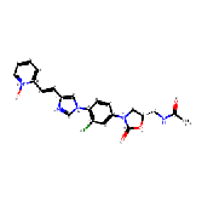 CC(=O)NC[C@H]1CN(c2ccc(-n3cnc(/C=C/c4cccc[n+]4[O-])c3)c(F)c2)C(=O)O1